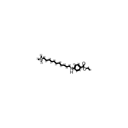 CCOC(=O)c1ccc(NCCCCCCCCCCC[Si](C)(C)C)cc1